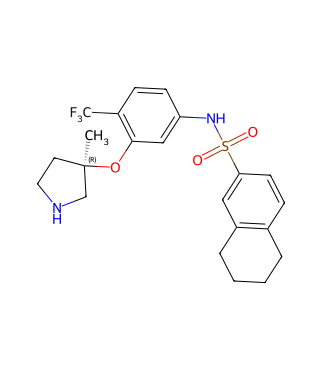 C[C@@]1(Oc2cc(NS(=O)(=O)c3ccc4c(c3)CCCC4)ccc2C(F)(F)F)CCNC1